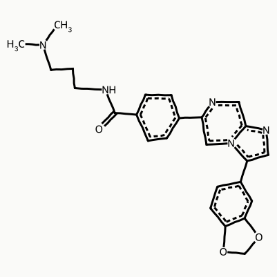 CN(C)CCCNC(=O)c1ccc(-c2cn3c(-c4ccc5c(c4)OCO5)cnc3cn2)cc1